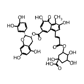 Cc1c(O)cc(/C=C/C(=O)OC2CC(O)(C(=O)O)CC(O)C2O)c2cc(C(=O)O[C@@H]3Cc4c(O)cc(O)cc4O[C@@H]3c3ccc(O)c(O)c3)cc(O)c(=O)c12